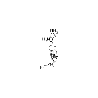 CC(C)CCC[C@@H](C)[C@H]1CC[C@H]2[C@@H]3CCC4C(C)(C)C(OCc5ccc(N)cc5N)CC[C@]4(C)[C@H]3CC[C@]12C